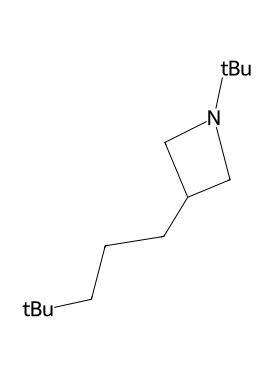 CC(C)(C)CCCC1CN(C(C)(C)C)C1